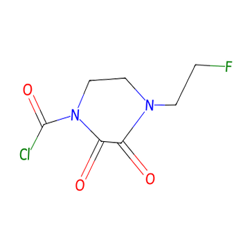 O=C1C(=O)N(C(=O)Cl)CCN1CCF